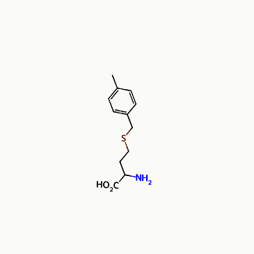 Cc1ccc(CSCCC(N)C(=O)O)cc1